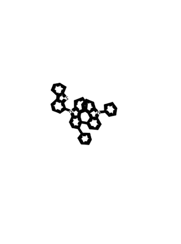 c1ccc(-c2ccc3c(c2-c2cccc4c2c2ccccc2n4-c2ccccc2)c2ccccc2n3-c2cccc3c2sc2ccccc23)cc1